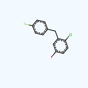 Fc1ccc(Cc2cc(I)ccc2Cl)cc1